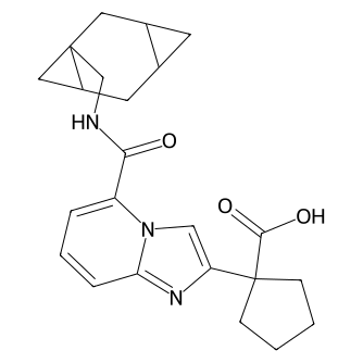 O=C(NCC12CC3CC3CC1C2)c1cccc2nc(C3(C(=O)O)CCCC3)cn12